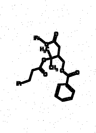 CC(C)CCC(=O)OC(C)(C)C(COC(=O)c1ccccc1)CC(=O)OC(C)C